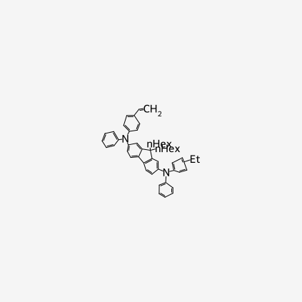 C=Cc1ccc(N(c2ccccc2)c2ccc3c(c2)C(CCCCCC)(CCCCCC)c2cc(N(c4ccccc4)c4ccc(CC)cc4)ccc2-3)cc1